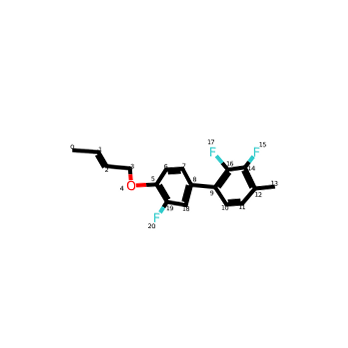 CC=CCOc1ccc(-c2ccc(C)c(F)c2F)cc1F